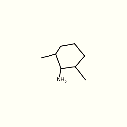 CC1CCCC(C)C1N